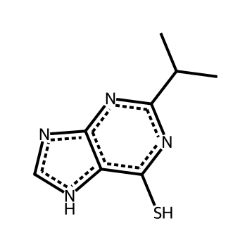 CC(C)c1nc(S)c2[nH]cnc2n1